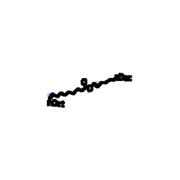 CCCCCCCC/C=C\CCCCCCCC(=O)O/C=C/CCCCCCCCCCCCCC